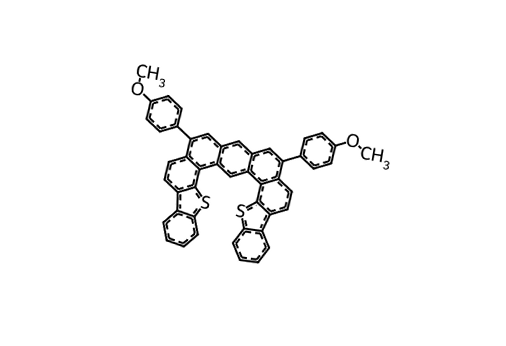 COc1ccc(-c2cc3cc4cc(-c5ccc(OC)cc5)c5ccc6c7ccccc7sc6c5c4cc3c3c2ccc2c4ccccc4sc23)cc1